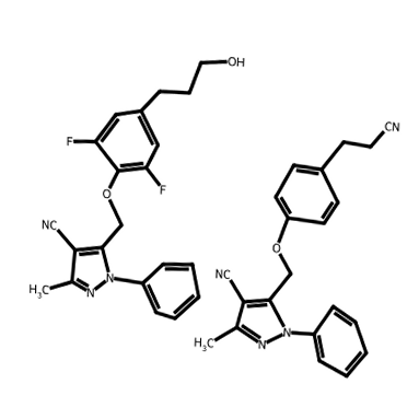 Cc1nn(-c2ccccc2)c(COc2c(F)cc(CCCO)cc2F)c1C#N.Cc1nn(-c2ccccc2)c(COc2ccc(CCC#N)cc2)c1C#N